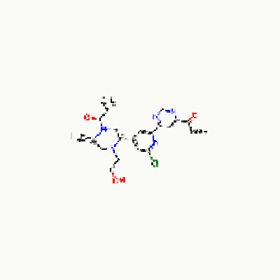 C=CC(=O)N1C[C@H](c2cc(Cl)nc(-c3cc(C(=O)NC)ncn3)c2)N(CCO)C[C@H]1C